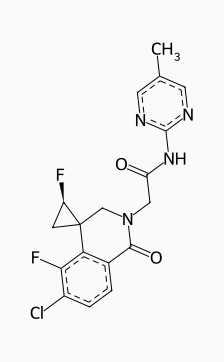 Cc1cnc(NC(=O)CN2CC3(C[C@H]3F)c3c(ccc(Cl)c3F)C2=O)nc1